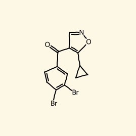 O=C(c1ccc(Br)c(Br)c1)c1cnoc1C1CC1